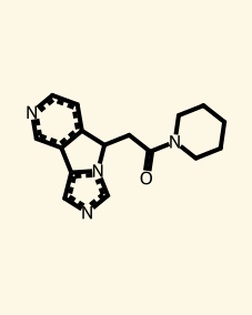 O=C(CC1c2ccncc2-c2cncn21)N1CCCCC1